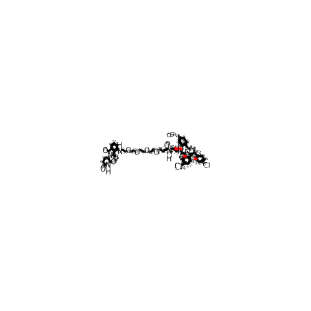 CCOc1cc(C(C)(C)C)ccc1C1=N[C@@](C)(c2ccc(Cl)cc2)[C@@](C)(c2ccc(Cl)cc2)N1C(=O)NCCNC(=O)CCOCCOCCOCCOCCNc1cccc2c1C(=O)N(C1CCC(=O)NC1=O)C2=O